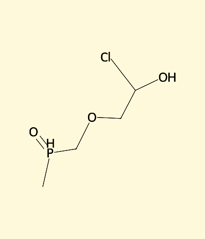 C[PH](=O)COCC(O)Cl